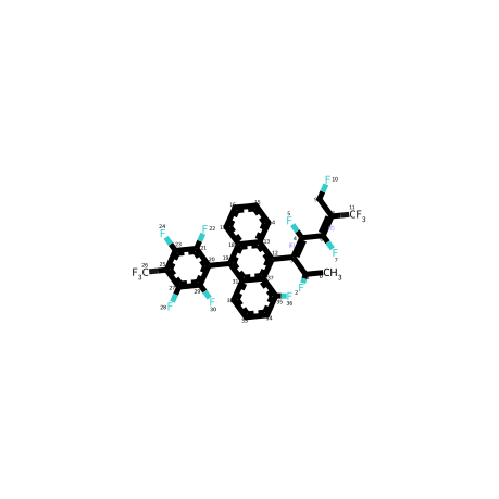 CC(F)/C(=C(F)\C(F)=C(/CF)C(F)(F)F)c1c2ccccc2c(-c2c(F)c(F)c(C(F)(F)F)c(F)c2F)c2cccc(F)c12